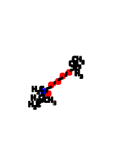 CCCC(C)(C)CCN(C)C(=O)CCOCCOCCOCCOCCC(C)(CC)CCC